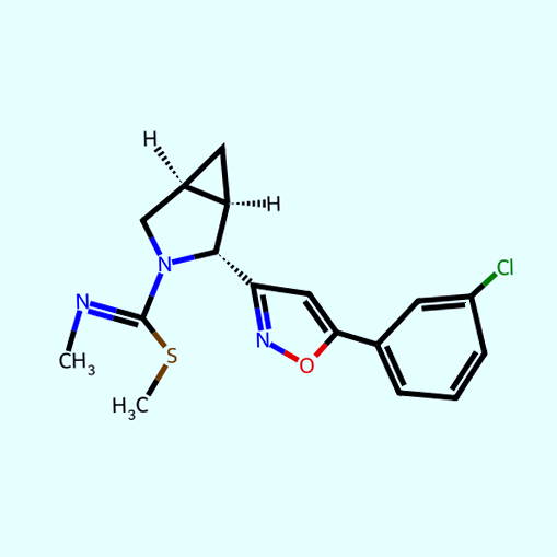 C/N=C(\SC)N1C[C@H]2C[C@H]2[C@@H]1c1cc(-c2cccc(Cl)c2)on1